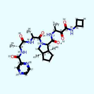 CCCC(NC(=O)C1[C@H]2CCC[C@H]2CN1C(=O)C(NC(=O)[C@H](NC(=O)c1cnccn1)C(C)C)C(C)C)C(=O)C(=O)NC1CCC1